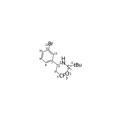 CC(C)(C)[S+]([O-])NC(CC(F)(F)F)c1cccc(Br)c1